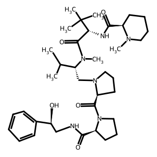 CC(C)[C@@H](CN1CCC[C@H]1C(=O)N1CCC[C@H]1C(=O)NC[C@H](O)c1ccccc1)N(C)C(=O)[C@@H](NC(=O)[C@H]1CCCCN1C)C(C)(C)C